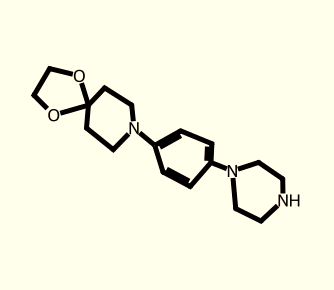 c1cc(N2CCC3(CC2)OCCO3)ccc1N1CCNCC1